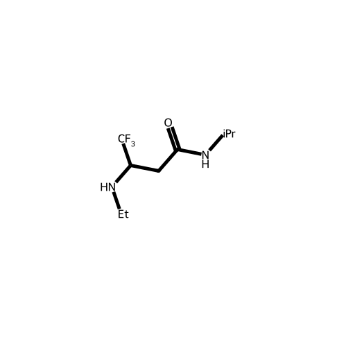 CCNC(CC(=O)NC(C)C)C(F)(F)F